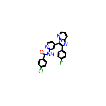 O=C(Nc1cc(-c2c(-c3ccc(F)cc3)nc3cccnn23)ccn1)c1ccc(Cl)cc1